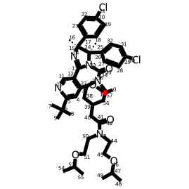 CCOc1cc(C(C)(C)C)ncc1C1=N[C@@](C)(c2ccc(Cl)cc2)[C@@](C)(c2ccc(Cl)cc2)N1C(=O)N1CCC(CC(=O)N(CCOC(C)C)CCOC(C)C)CC1